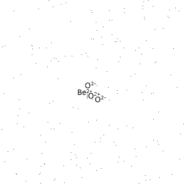 [Be+2].[O+2].[O-2].[O-2]